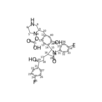 O=C(O)ON1CCNCC1Cc1ccc(C2C(CCC(O)c3ccc(F)cc3)C(=O)N2c2ccc(F)cc2)c(O)c1